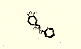 O=C(O)[C@H]1CC[C@@](O)(CNc2ccccn2)CC1